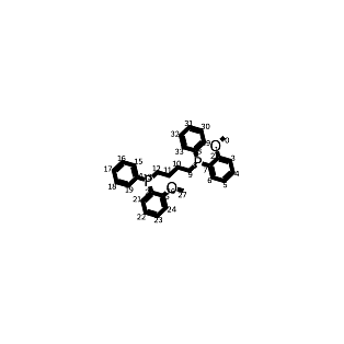 COc1ccccc1P(CCCCP(c1ccccc1)c1ccccc1OC)c1ccccc1